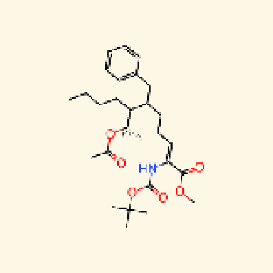 CCCCC(C(CCC=C(NC(=O)OC(C)(C)C)C(=O)OC)Cc1ccccc1)[C@H](C)OC(C)=O